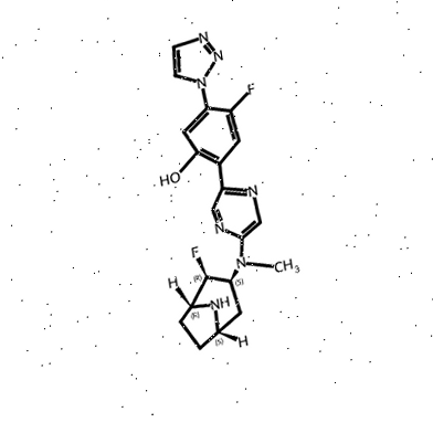 CN(c1cnc(-c2cc(F)c(-n3ccnn3)cc2O)cn1)[C@H]1C[C@@H]2CC[C@@H](N2)[C@H]1F